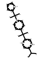 CC(C)c1cnc(C(C)(C)c2cc[n+](C(C)(C)c3cccs3)cc2)cn1